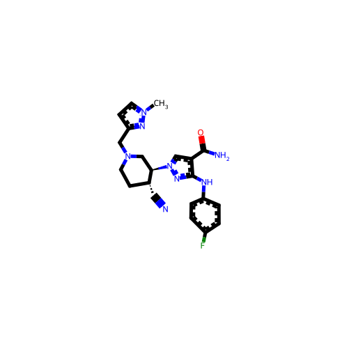 Cn1ccc(CN2CC[C@@H](C#N)[C@H](n3cc(C(N)=O)c(Nc4ccc(F)cc4)n3)C2)n1